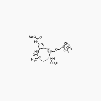 COC(=O)Nc1ccc2c(c1)NC(=O)[C@H](C)CCCC(NC(=O)O)c1nc-2cn1COCC[Si](C)(C)C